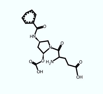 NC(CCC(=O)O)C(=O)N1C[C@H](NC(=O)c2ccccc2)C[C@@H]1OC(=O)O